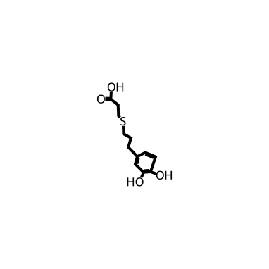 O=C(O)CCSCCCc1ccc(O)c(O)c1